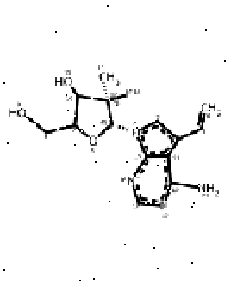 C=Cc1cn([C@@H]2OC(CO)C(O)[C@@]2(C)F)c2ncnc(N)c12